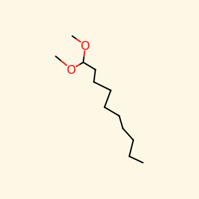 CCCCCCCCCC(OC)OC